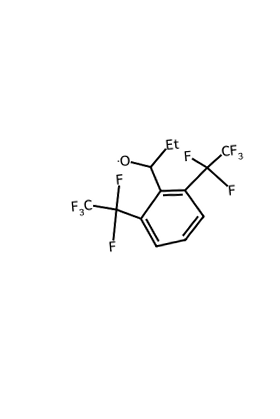 CCC([O])c1c(C(F)(F)C(F)(F)F)cccc1C(F)(F)C(F)(F)F